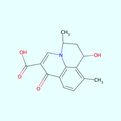 Cc1ccc2c(=O)c(C(=O)O)cn3c2c1C(O)CC3C